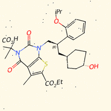 CCOC(=O)c1sc2c(c1C)c(=O)n(C(C)(C)C(=O)O)c(=O)n2C[C@H](C[C@H]1CC[C@H](O)CC1)c1ccccc1OC(C)C